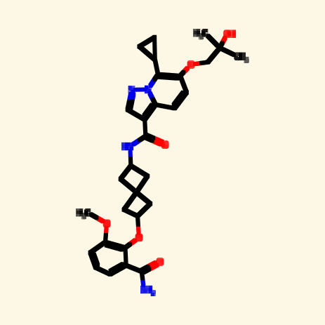 COc1cccc(C(N)=O)c1OC1CC2(CC(NC(=O)c3cnn4c(C5CC5)c(OCC(C)(C)O)ccc34)C2)C1